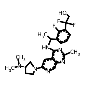 Cc1nc(NC(C)c2cccc(C(F)(F)CO)c2F)c2cc(N3CC[C@@H](N(C)C)C3)ncc2n1